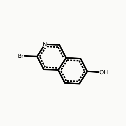 Oc1ccc2cc(Br)ncc2c1